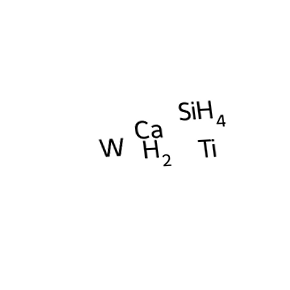 [CaH2].[SiH4].[Ti].[W]